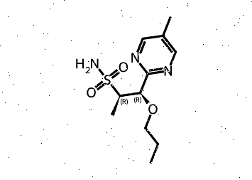 CCCO[C@H](c1ncc(C)cn1)[C@@H](C)S(N)(=O)=O